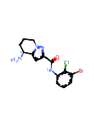 N[C@H]1CCCn2nc(C(=O)Nc3cccc(Br)c3Cl)cc21